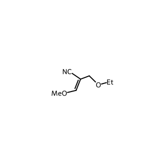 CCOCC(C#N)=COC